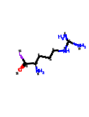 NC(N)NCCC[C@H](N)C(=O)I